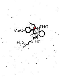 COc1ccc(C(=O)NC2(N(C=O)C(CC(C)C)C(=O)c3nnc(SCCN(C)C)o3)CCCCC2)cc1.Cl